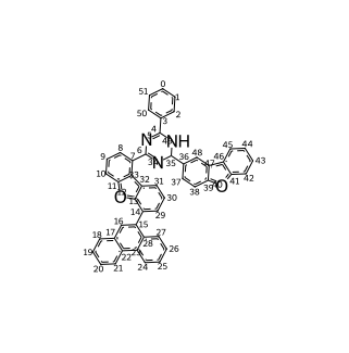 c1ccc(C2=NC(c3cccc4oc5c(-c6cc7ccccc7c7ccccc67)cccc5c34)=NC(c3ccc4oc5ccccc5c4c3)N2)cc1